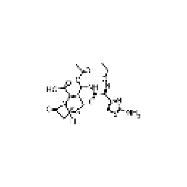 CCON=C(C(=O)NC(OC(C)=O)C1=C(C(=O)O)N2C(=O)C[C@H]2SC1)c1csc(N)n1